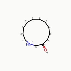 O=C1CCCCCCCCCCNC1